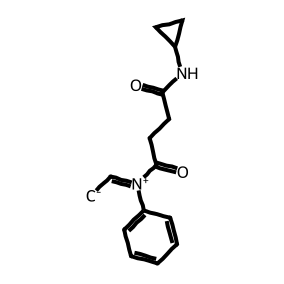 [CH2-]/C=[N+](/C(=O)CCC(=O)NC1CC1)c1ccccc1